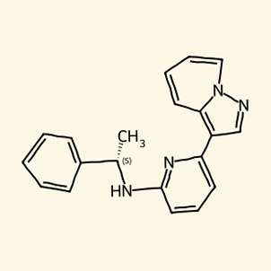 C[C@H](Nc1cccc(-c2cnn3ccccc23)n1)c1ccccc1